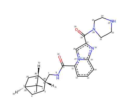 CC1(C)[C@H]2CC[C@@H](CNC(=O)c3cccc4nc(C(=O)N5CCNCC5)cn34)[C@H]1C2